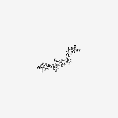 CC(C)C1Oc2cc(OCCN3CCCC3c3ccc(-c4cc(F)cc(C5CCCN5CCOc5cc6c(cc5F)NC(=O)CC6)c4)c(F)c3)ccc2NC1=O